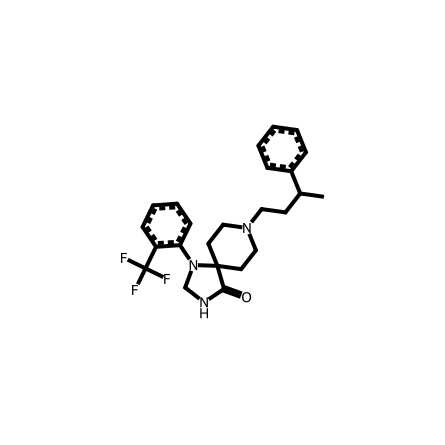 CC(CCN1CCC2(CC1)C(=O)NCN2c1ccccc1C(F)(F)F)c1ccccc1